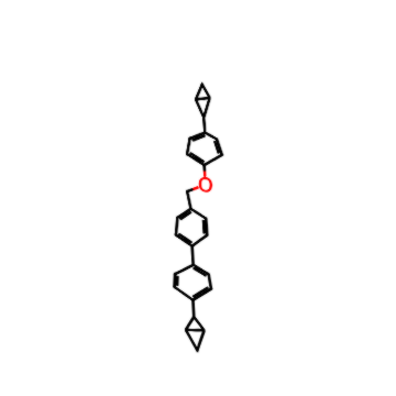 c1cc(-c2ccc(C3C4CC43)cc2)ccc1COc1ccc(C2C3CC32)cc1